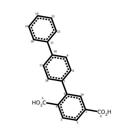 O=C(O)c1ccc(C(=O)O)c(-c2ccc(-c3ccccc3)cc2)c1